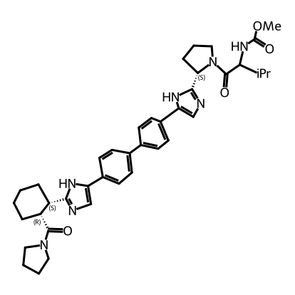 COC(=O)NC(C(=O)N1CCC[C@H]1c1ncc(-c2ccc(-c3ccc(-c4cnc([C@H]5CCCC[C@H]5C(=O)N5CCCC5)[nH]4)cc3)cc2)[nH]1)C(C)C